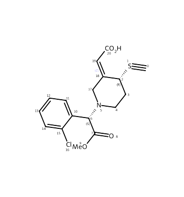 C#S[C@@H]1CCN([C@H](C(=O)OC)c2ccccc2Cl)C/C1=C/C(=O)O